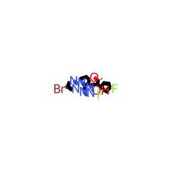 C[C@@H](OC1CCN(c2ncc(Br)cn2)CC1)[C@](O)(Cn1cncn1)c1ccc(F)cc1F